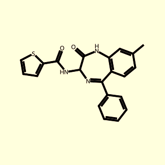 Cc1ccc2c(c1)NC(=O)C(NC(=O)c1cccs1)N=C2c1ccccc1